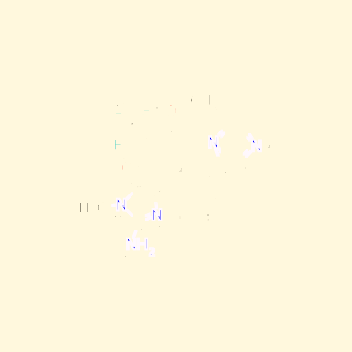 COc1ccc(C2(c3cccc(-c4cnccn4)c3)N=C(N)N(C)C2=O)cc1C(F)(F)F